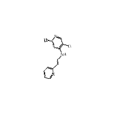 CCc1ncc(Cl)c(NCCc2ccccn2)n1